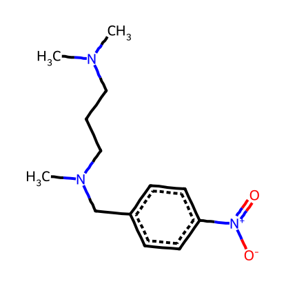 CN(C)CCCN(C)Cc1ccc([N+](=O)[O-])cc1